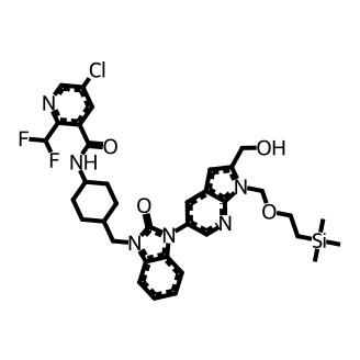 C[Si](C)(C)CCOCn1c(CO)cc2cc(-n3c(=O)n(CC4CCC(NC(=O)c5cc(Cl)cnc5C(F)F)CC4)c4ccccc43)cnc21